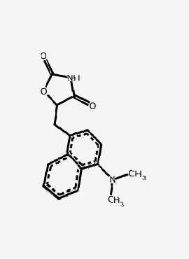 CN(C)c1ccc(CC2OC(=O)NC2=O)c2ccccc12